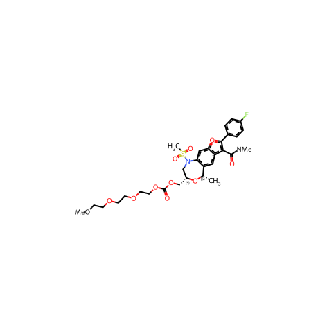 CNC(=O)c1c(-c2ccc(F)cc2)oc2cc3c(cc12)[C@H](C)O[C@H](COC(=O)OCCOCCOCCOC)CN3S(C)(=O)=O